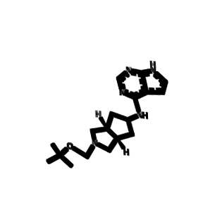 CC(C)(C)OCN1C[C@H]2CC(Nc3ncnc4[nH]ccc34)C[C@H]2C1